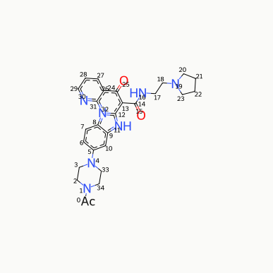 CC(=O)N1CCN(c2ccc3c(c2)[nH]c2c(C(=O)NCCN4CCCC4)c(=O)c4cccnc4n23)CC1